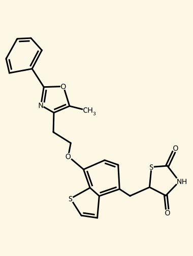 Cc1oc(-c2ccccc2)nc1CCOc1ccc(CC2SC(=O)NC2=O)c2ccsc12